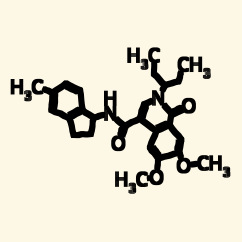 CCC(CC)n1cc(C(=O)NC2CCc3cc(C)ccc32)c2cc(OC)c(OC)cc2c1=O